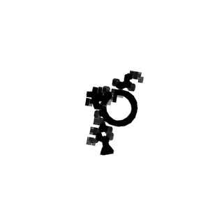 CC(C)[C@H](NC(=O)N[C@H]1CCCCCCCCC[C@@H](C(=O)C(=O)CN)NC(=O)[C@@H]2[C@@H]3[C@H](CN2C1=O)C3(C)C)C(=O)C1CC1